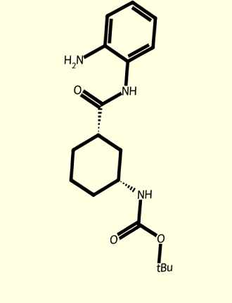 CC(C)(C)OC(=O)N[C@@H]1CCC[C@H](C(=O)Nc2ccccc2N)C1